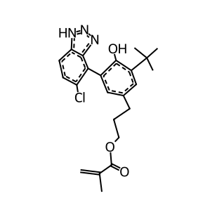 C=C(C)C(=O)OCCCc1cc(-c2c(Cl)ccc3[nH]nnc23)c(O)c(C(C)(C)C)c1